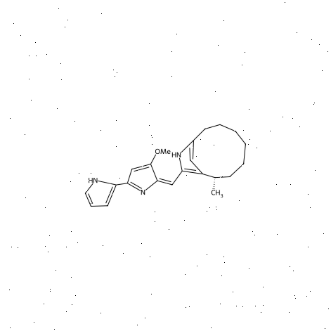 COC1=CC(c2ccc[nH]2)=NC1=Cc1[nH]c2cc1[C@@H](C)CCCCCC2